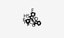 CC(c1nc2ccc(F)cc2c(S)c1-c1cc(F)cc(F)c1)N1C(=O)c2ccccc2C1=O